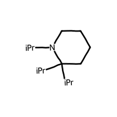 CC(C)N1CCCCC1(C(C)C)C(C)C